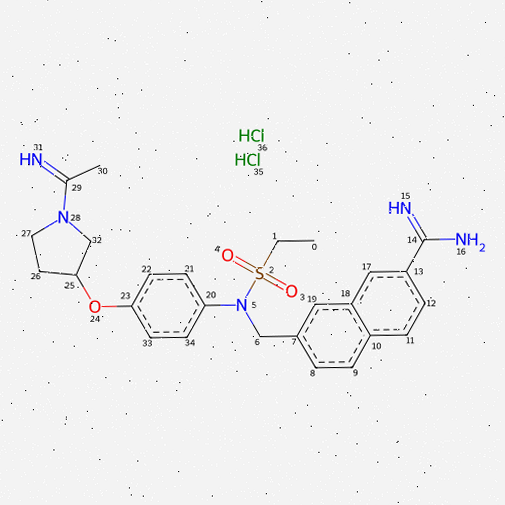 CCS(=O)(=O)N(Cc1ccc2ccc(C(=N)N)cc2c1)c1ccc(OC2CCN(C(C)=N)C2)cc1.Cl.Cl